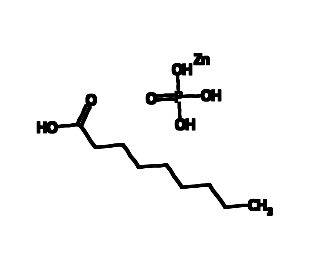 CCCCCCCCC(=O)O.O=P(O)(O)O.[Zn]